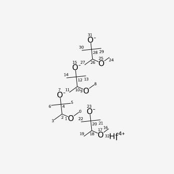 COC(C)C(C)(C)[O-].COC(C)C(C)(C)[O-].COC(C)C(C)(C)[O-].COC(C)C(C)(C)[O-].[Hf+4]